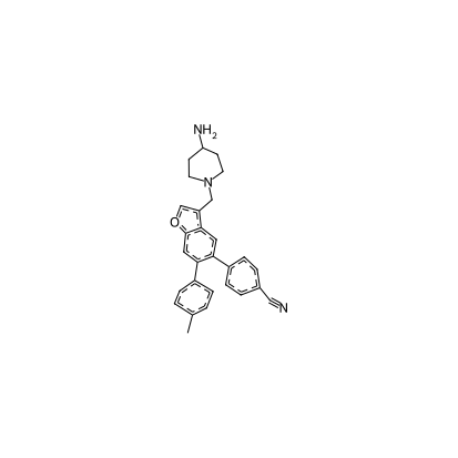 Cc1ccc(-c2cc3occ(CN4CCC(N)CC4)c3cc2-c2ccc(C#N)cc2)cc1